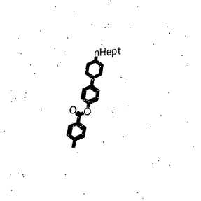 CCCCCCCC1CCC(c2ccc(OC(=O)c3ccc(C)cc3)cc2)CC1